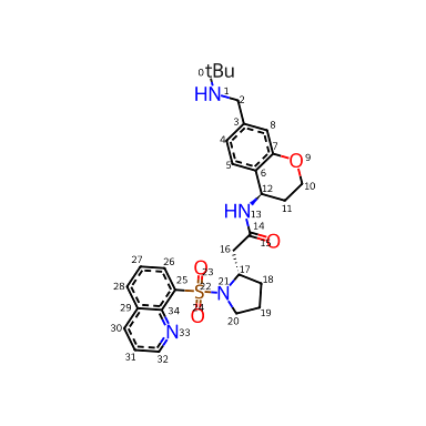 CC(C)(C)NCc1ccc2c(c1)OCC[C@H]2NC(=O)C[C@@H]1CCCN1S(=O)(=O)c1cccc2cccnc12